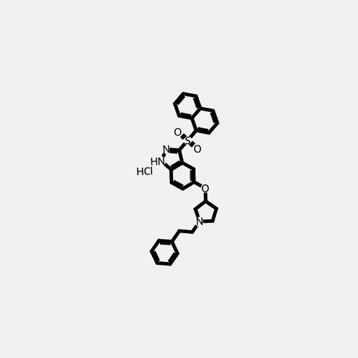 Cl.O=S(=O)(c1cccc2ccccc12)c1n[nH]c2ccc(OC3CCN(CCc4ccccc4)C3)cc12